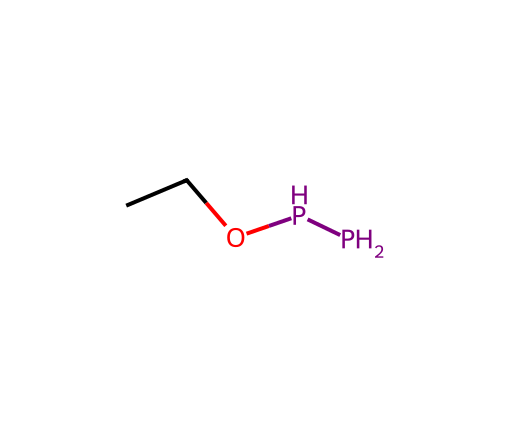 CCOPP